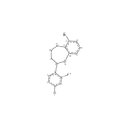 Fc1cc(Cl)ccc1C1CCOc2c(Br)cccc2O1